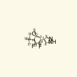 COc1cc(-c2cn[nH]c2)c(F)c(F)c1C(C)(C)C